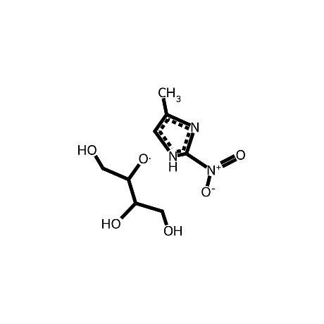 Cc1c[nH]c([N+](=O)[O-])n1.[O]C(CO)C(O)CO